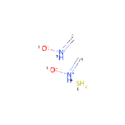 C=[NH+][O-].C=[NH+][O-].S